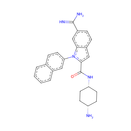 N=C(N)c1ccc2cc(C(=O)N[C@H]3CC[C@@H](N)CC3)n(-c3ccc4ccccc4c3)c2c1